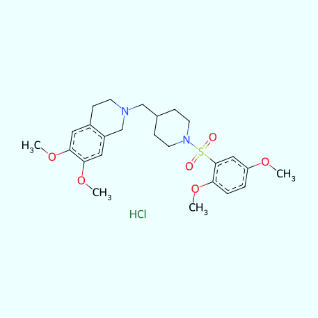 COc1ccc(OC)c(S(=O)(=O)N2CCC(CN3CCc4cc(OC)c(OC)cc4C3)CC2)c1.Cl